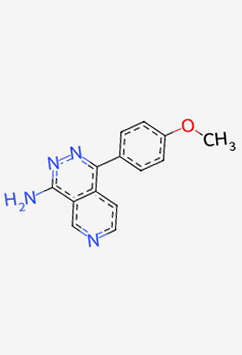 COc1ccc(-c2nnc(N)c3cnccc23)cc1